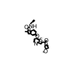 C#CCNC(=O)n1c(C)cc2cc(Oc3ccnc4cc(C(=O)N5CC[C@H](OC)C5)sc34)ccc21